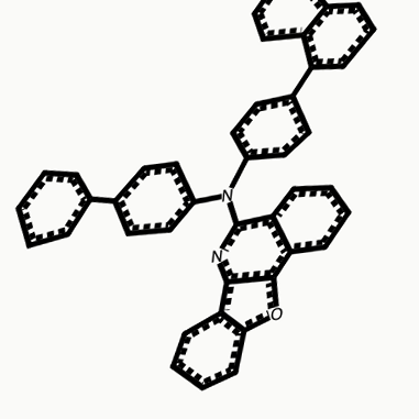 c1ccc(-c2ccc(N(c3ccc(-c4cccc5ccccc45)cc3)c3nc4c5ccccc5oc4c4ccccc34)cc2)cc1